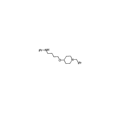 CC(C)CN1CCC(OCCCCNC(C)C)CC1